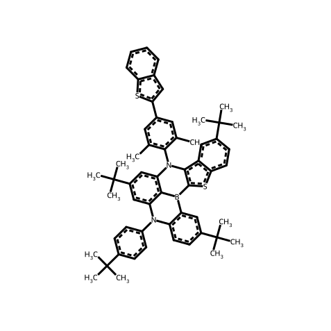 Cc1cc(-c2cc3ccccc3s2)cc(C)c1N1c2cc(C(C)(C)C)cc3c2B(c2cc(C(C)(C)C)ccc2N3c2ccc(C(C)(C)C)cc2)c2sc3ccc(C(C)(C)C)cc3c21